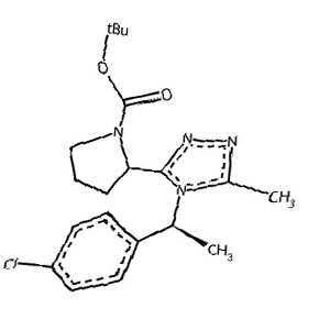 Cc1nnc(C2CCCN2C(=O)OC(C)(C)C)n1[C@@H](C)c1ccc(Cl)cc1